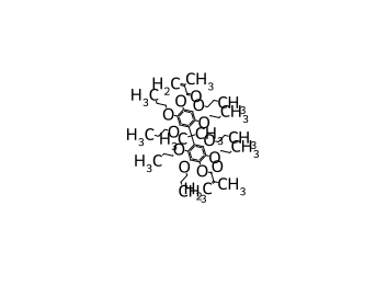 C=C(C)C(=O)Oc1c(OCCC)c(OCCC)c(C(C)(C)c2c(OCCC)c(OCCC)c(OC(=O)C(=C)C)c(OCCC)c2OCCC)c(OCCC)c1OCCC